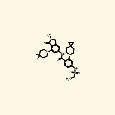 CCS(=O)(=O)Nc1ccc(C(=O)Nc2cc3c(c(N4CCC(F)(F)CC4)c2)C(=O)N(C)C3)c(N2CCC3(CC2)CC3)c1